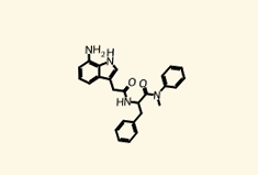 CN(C(=O)C(Cc1ccccc1)NC(=O)Cc1c[nH]c2c(N)cccc12)c1ccccc1